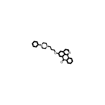 O=C1c2ccccc2-c2nccc3cc(OCCCN4CCN(c5ccccc5)CC4)cc1c23